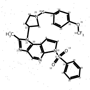 Cc1nc2cnc3c(ccn3S(=O)(=O)c3ccccc3)c2n1C1CCN(Sc2ccc(OC(F)(F)F)cc2)C1